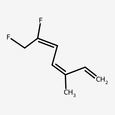 C=C/C(C)=C\C=C(\F)CF